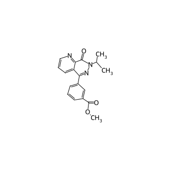 COC(=O)c1cccc(-c2nn(C(C)C)c(=O)c3ncccc23)c1